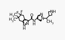 CC(C1CNC1)n1cc(NC(=O)c2n[nH]c3c2CC(F)(F)C(C)(C)C3)cn1